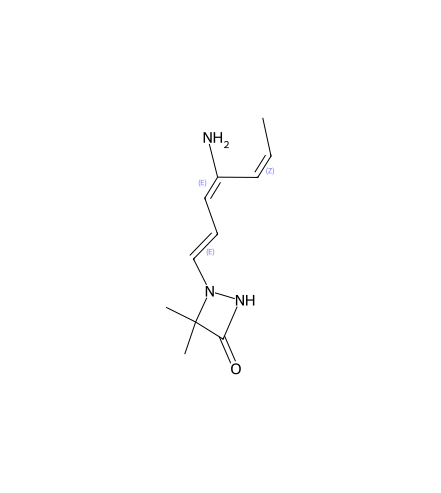 C\C=C/C(N)=C\C=C\N1NC(=O)C1(C)C